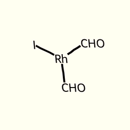 O=[CH][Rh]([I])[CH]=O